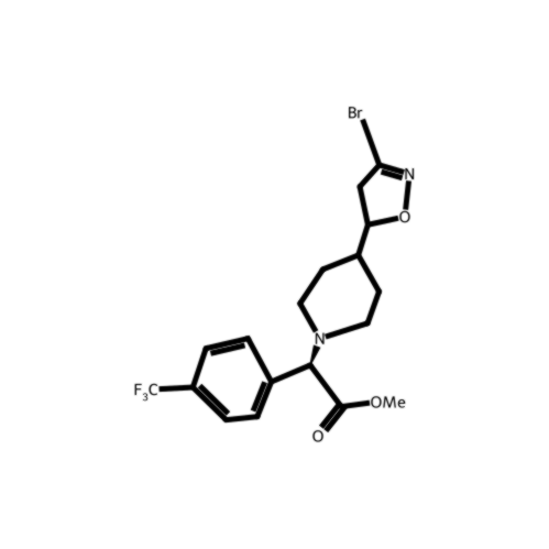 COC(=O)[C@@H](c1ccc(C(F)(F)F)cc1)N1CCC(C2CC(Br)=NO2)CC1